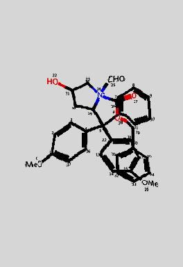 COc1ccc(C(c2ccccc2)(c2ccc(OC)cc2)C2CC(O)C[N+]2(C=O)C(=O)OCc2ccccc2)cc1